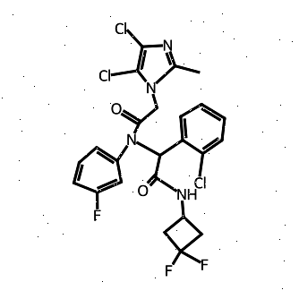 Cc1nc(Cl)c(Cl)n1CC(=O)N(c1cccc(F)c1)C(C(=O)NC1CC(F)(F)C1)c1ccccc1Cl